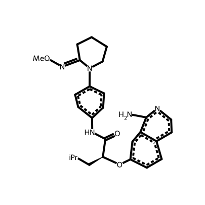 CO/N=C1\CCCCN1c1ccc(NC(=O)[C@H](CC(C)C)Oc2ccc3ccnc(N)c3c2)cc1